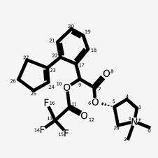 C[N+]1(C)CC[C@@H](OC(=O)C(OC(=O)C(F)(F)F)c2ccccc2C2=CCCC2)C1